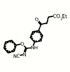 CCOC(=O)CCC(=O)c1ccc(NC(=NC#N)Oc2ccccc2)cc1